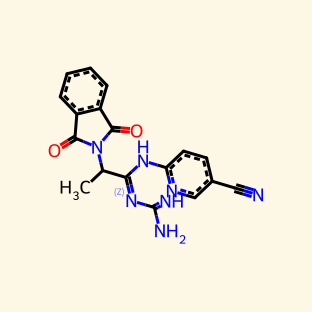 CC(/C(=N/C(=N)N)Nc1ccc(C#N)cn1)N1C(=O)c2ccccc2C1=O